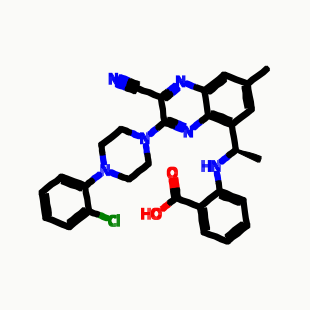 Cc1cc([C@@H](C)Nc2ccccc2C(=O)O)c2nc(N3CCN(c4ccccc4Cl)CC3)c(C#N)nc2c1